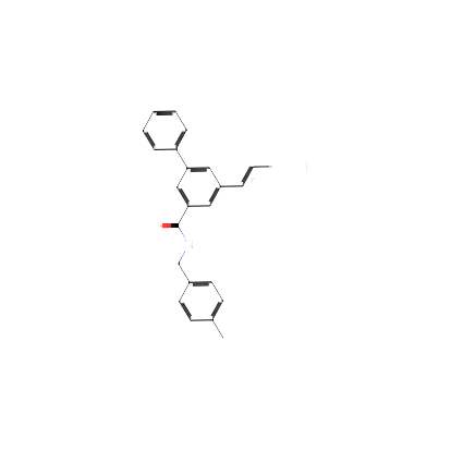 Cc1ccc(CNC(=O)c2cc(/C=C/C(=O)O)cc(-c3ccccc3)c2)cc1